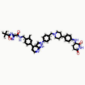 Cc1cc(-c2ccnc3nn(-c4ccc(CN5CCC(c6ccc(NC7CCC(=O)NC7=O)cc6)CC5)cc4)cc23)ccc1CNC(=O)c1noc(C(C)(C)C)n1